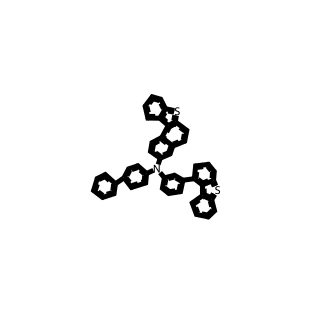 c1ccc(-c2ccc(N(c3cccc(-c4cccc5sc6ccccc6c45)c3)c3ccc4c(ccc5sc6ccccc6c54)c3)cc2)cc1